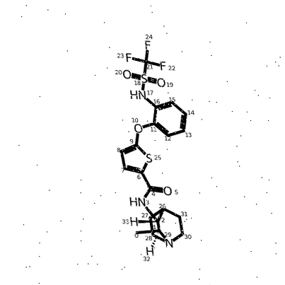 C[C@H]1[C@H](NC(=O)c2ccc(Oc3ccccc3NS(=O)(=O)C(F)(F)F)s2)C2CCN1CC2